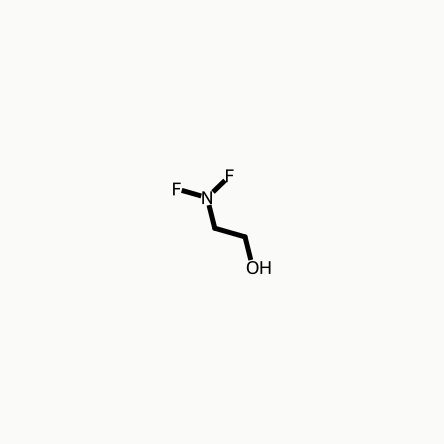 OCCN(F)F